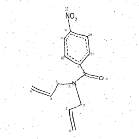 C=CCN(CC=C)C(=O)c1ccc([N+](=O)[O-])cc1